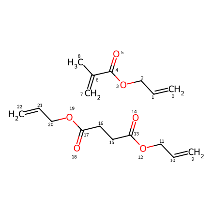 C=CCOC(=O)C(=C)C.C=CCOC(=O)CCC(=O)OCC=C